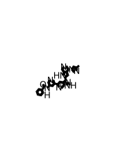 Cc1cn(-c2cncc3[nH]c(-c4n[nH]c5cnc(-c6cncc(NC(=O)c7ccccc7)c6)cc45)cc23)cn1